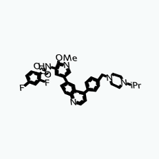 COc1ncc(-c2ccc3nccc(-c4ccc(CN5CCN(C(C)C)CC5)cc4)c3c2)cc1NS(=O)(=O)c1ccc(F)cc1F